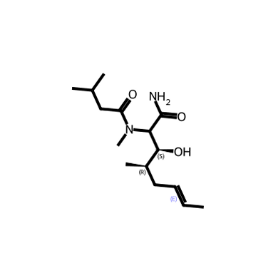 C/C=C/C[C@@H](C)[C@H](O)C(C(N)=O)N(C)C(=O)CC(C)C